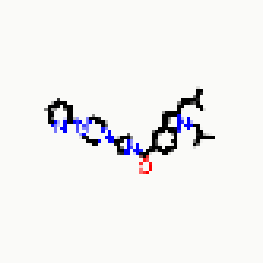 CC(C)Cc1cc2cc(C(=O)N3CC(N4CCN(c5ccccn5)CC4)C3)ccc2n1CC(C)C